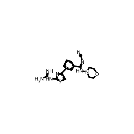 N#CN=C(NN1CCOCC1)c1cccc(-c2csc(NC(=N)N)n2)c1